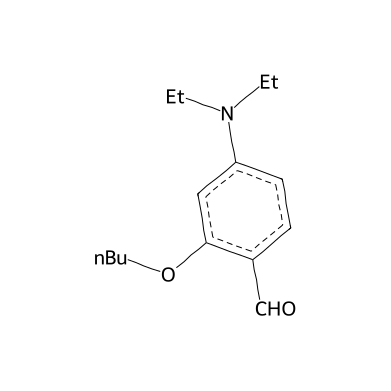 CCCCOc1cc(N(CC)CC)ccc1C=O